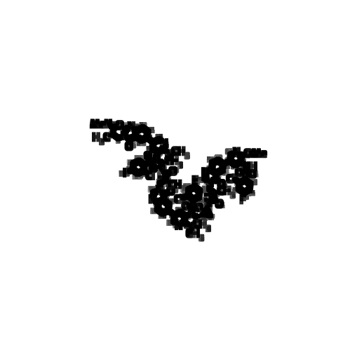 CNC(=O)[C@H](C)Cn1cnc2ccc(-c3cnc(N(C)C)c(N(CNC(=O)[C@H](C)Cn4cnc5ccc(-c6cnc(N(C)C)c(N(C[C@H]7C[C@@H]7NC(=O)[C@@H](C)Cn7cnc8ccc(-c9cnc(OC)c(NS(=O)(=O)c%10ccc(F)cc%10Cl)c9)cc8c7=O)S(=O)(=O)c7ccc(F)cc7Cl)c6)cc5c4=O)S(=O)(=O)c4ccc(F)cc4Cl)c3)cc2c1=O